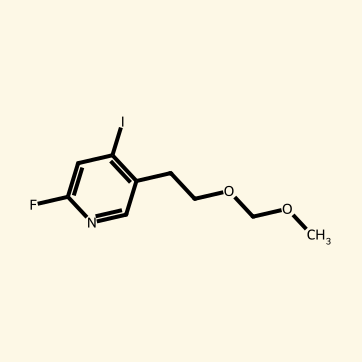 COCOCCc1cnc(F)cc1I